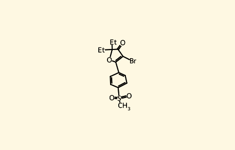 CCC1(CC)OC(c2ccc(S(C)(=O)=O)cc2)=C(Br)C1=O